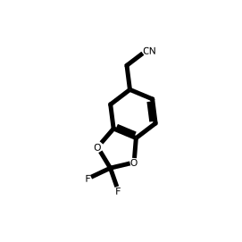 N#CCC1C=CC2=C(C1)OC(F)(F)O2